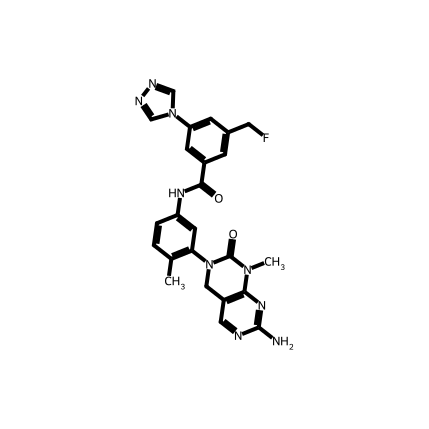 Cc1ccc(NC(=O)c2cc(CF)cc(-n3cnnc3)c2)cc1N1Cc2cnc(N)nc2N(C)C1=O